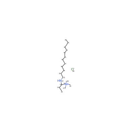 CCCCCCCCCCCCNC(CC)[N+](C)(C)C.[Cl-]